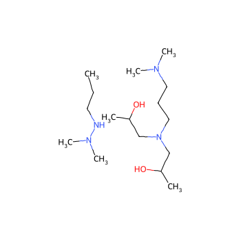 CC(O)CN(CCCN(C)C)CC(C)O.CCCNN(C)C